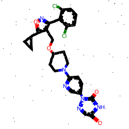 O=c1cnn(-c2ccc(N3CCC(OCc4c(-c5c(Cl)cccc5Cl)noc4C4CC4)CC3)nc2)c(=O)[nH]1